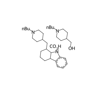 CCCCN1CCC(CC2CCCC3c4ccccc4N(C(=O)O)C23)CC1.CCCCN1CCC(CO)CC1